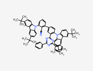 CC(C)(C)c1ccc2c(c1)c1cc(C(C)(C)C)ccc1n2-c1ccc(-c2cccc(-n3c4ccc(C(C)(C)C)cc4c4cc(C(C)(C)C)ccc43)c2C#N)cc1-c1nc(-c2ccccc2)nc(-c2ccccc2)n1